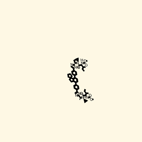 CCC(C)[C@H](NC(=O)OC)C(=O)N(C1CC1)[C@@H](C)c1ncc(-c2ccc(-c3ccc(-c4ccc(-c5cnc([C@@H]6CC7CC7N6C(=O)[C@@H](NC(=O)OC)C(C)CC)[nH]5)cc4)c4c3CCC43CCCC3)cc2)[nH]1